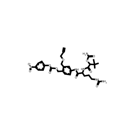 C#CCOCc1cc(NC(=O)C(CCCNC(N)=O)NC(=O)C(OC(N)=O)C(C)(C)C)ccc1COC(=O)Oc1ccc([N+](=O)[O-])cc1